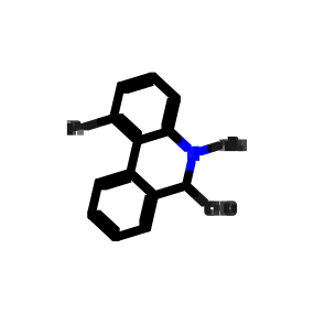 CCCCN1c2cccc(C(C)C)c2-c2ccccc2C1C=O